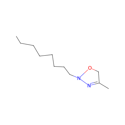 CCCCCCCCN1N=C(C)CO1